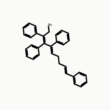 CCC(C)CC(=C(C(=CCCC=Cc1ccccc1)c1ccccc1)c1ccccc1)c1ccccc1